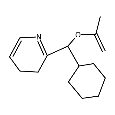 C=C(C)OC(C1=NC=CCC1)C1CCCCC1